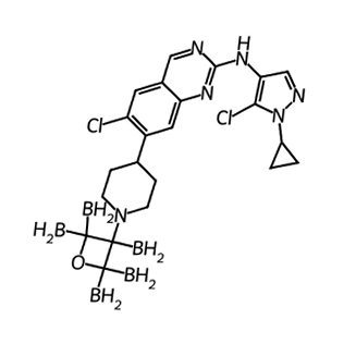 BC1(B)OC(B)(B)C1(B)N1CCC(c2cc3nc(Nc4cnn(C5CC5)c4Cl)ncc3cc2Cl)CC1